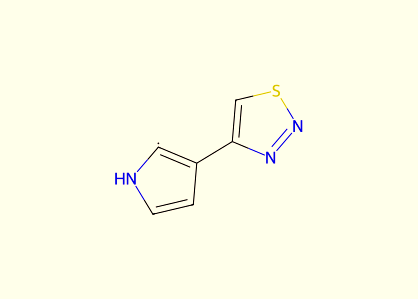 [c]1[nH]ccc1-c1csnn1